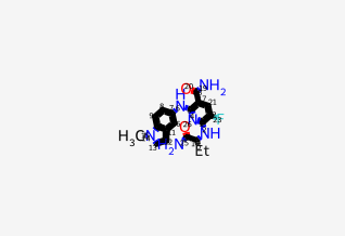 CCC(Nc1nc(Nc2ccc3c(ccn3C)c2)c(C(N)=O)cc1F)C(N)=O